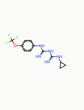 N=C(NC(=N)NC1CC1)Nc1ccc(OC(F)(F)F)cc1